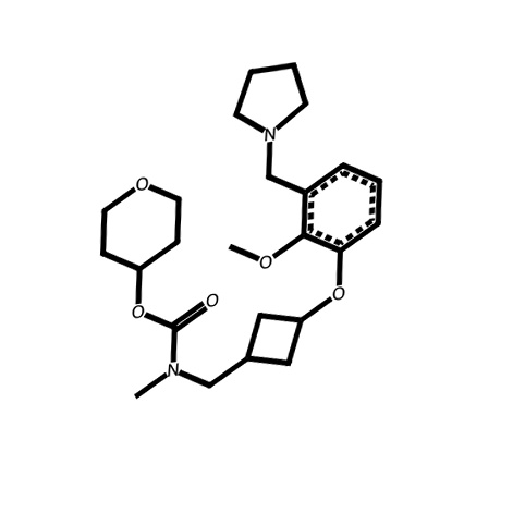 COc1c(CN2CCCC2)cccc1OC1CC(CN(C)C(=O)OC2CCOCC2)C1